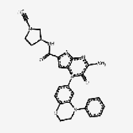 C#CN1CC[C@H](NC(=O)c2cc3c(nc(N)c(=O)n3-c3ccc4c(c3)N(c3ccccc3)CCO4)s2)C1